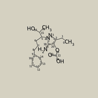 CCc1nn(C(CCCc2ccccc2)C(C)O)c(N)c1OC(=O)O